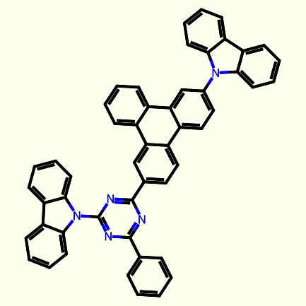 c1ccc(-c2nc(-c3ccc4c5ccc(-n6c7ccccc7c7ccccc76)cc5c5ccccc5c4c3)nc(-n3c4ccccc4c4ccccc43)n2)cc1